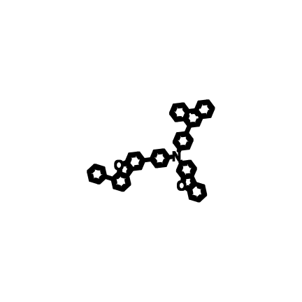 c1ccc(-c2cccc3c2oc2ccc(-c4ccc(N(c5ccc(-c6cc7ccccc7c7ccccc67)cc5)c5ccc6c(c5)oc5ccccc56)cc4)cc23)cc1